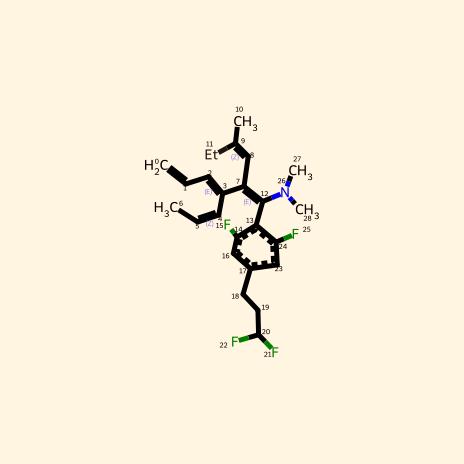 C=C/C=C(\C=C/C)C(/C=C(/C)CC)=C(\c1c(F)cc(CCC(F)F)cc1F)N(C)C